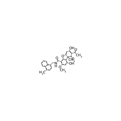 COc1cc(O)c2c(c1C(=O)NCc1ccc(C)c3ccccc13)OC1=CC(O)=C(C(C)=O)C(=O)[C@]12C